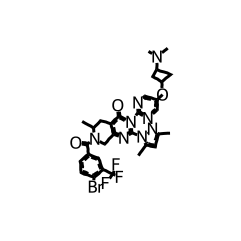 Cc1cc(C)n(-c2nc3c(c(=O)n2-c2ncc(OC4CC(N(C)C)C4)cn2)CC(C)N(C(=O)c2ccc(Br)c(C(F)(F)F)c2)C3)n1